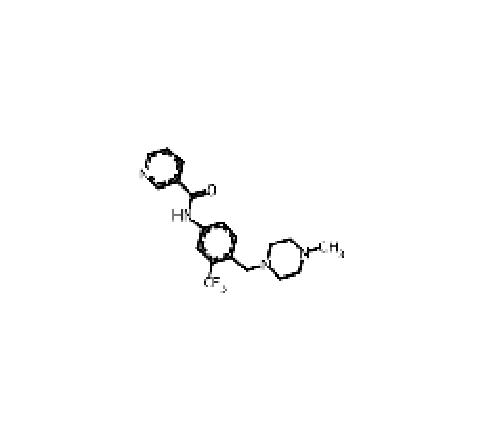 CN1CCN(Cc2ccc(NC(=O)c3cccnc3)cc2C(F)(F)F)CC1